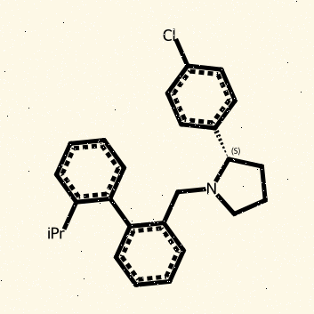 CC(C)c1ccccc1-c1ccccc1CN1CCC[C@H]1c1ccc(Cl)cc1